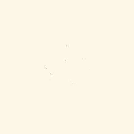 Cc1nc2ccccn2c(=O)c1CCN1CCC(CO)(C(=O)c2ccc(F)cc2)CC1.Cl.Cl